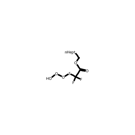 CCCCCCCCOC(=O)C(F)(F)SOOO